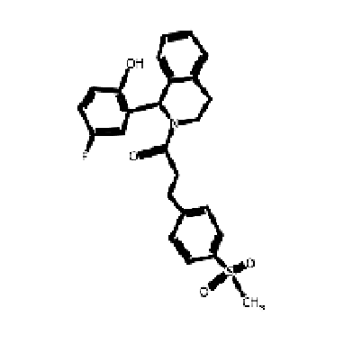 CS(=O)(=O)c1ccc(CCC(=O)N2CCc3ccccc3C2c2cc(F)ccc2O)cc1